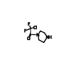 O=C(N1CCNCC1)C(F)(F)Cl